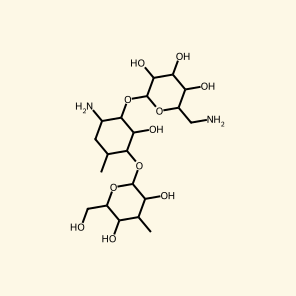 CC1CC(N)C(OC2OC(CN)C(O)C(O)C2O)C(O)C1OC1OC(CO)C(O)C(C)C1O